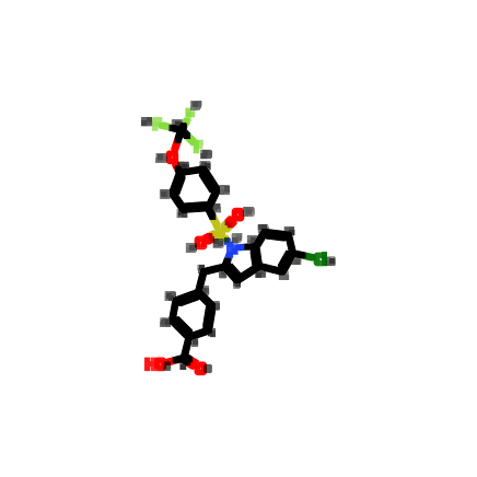 O=C(O)c1ccc(Cc2cc3cc(Cl)ccc3n2S(=O)(=O)c2ccc(OC(F)(F)F)cc2)cc1